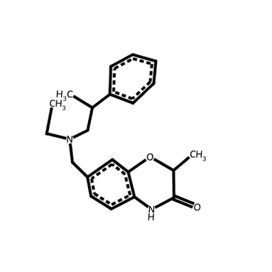 CCN(Cc1ccc2c(c1)OC(C)C(=O)N2)CC(C)c1ccccc1